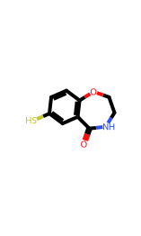 O=C1NCCOc2ccc(S)cc21